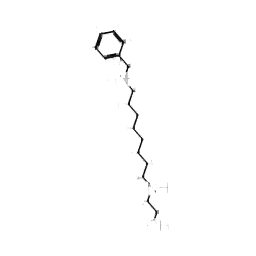 OCCNCCCCCCCCNCc1ccccc1